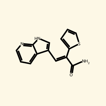 NC(=O)/C(=C/c1c[nH]c2ncccc12)c1cccs1